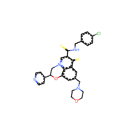 S=C(NCc1ccc(Cl)cc1)c1cn2c3c(cc(CN4CCOCC4)cc3c1=S)OC(c1ccncc1)C2